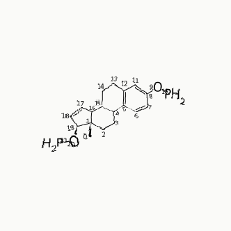 C[C@]12CCC3c4ccc(OP)cc4CCC3C1C=C[C@@H]2OP